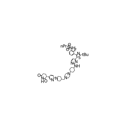 CCCS(=O)(=O)Nc1cccc(-c2nc(C(C)(C)C)sc2-c2ccnc(NC3CCC(N4CCN(CC5CCN(c6ccc([C@@H]7CCC(=O)NC7=O)cn6)CC5)CC4)CC3)n2)c1F